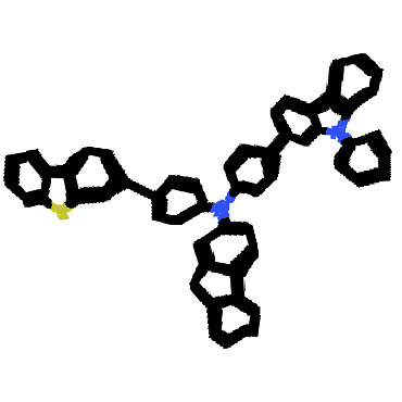 c1ccc(-n2c3ccccc3c3ccc(-c4ccc(N(c5ccc(-c6ccc7c(c6)sc6ccccc67)cc5)c5ccc6c(c5)Cc5ccccc5-6)cc4)cc32)cc1